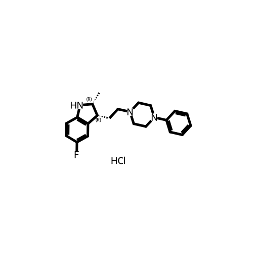 C[C@H]1Nc2ccc(F)cc2[C@H]1CCN1CCN(c2ccccc2)CC1.Cl